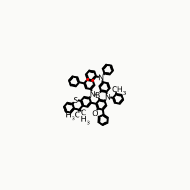 Cc1ccccc1N1c2ccc(N(c3ccccc3)c3ccccc3)cc2B2c3c1cc1c(oc4ccccc41)c3-c1cc3c(cc1N2c1cccc(-c2ccccc2)c1)Sc1ccccc1C3(C)C